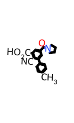 Cc1ccc(-c2cc(C(=O)N3CCCC3)cc(C(=O)O)c2C#N)cc1